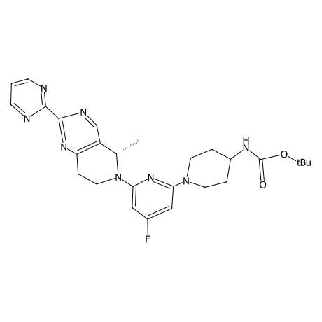 C[C@H]1c2cnc(-c3ncccn3)nc2CCN1c1cc(F)cc(N2CCC(NC(=O)OC(C)(C)C)CC2)n1